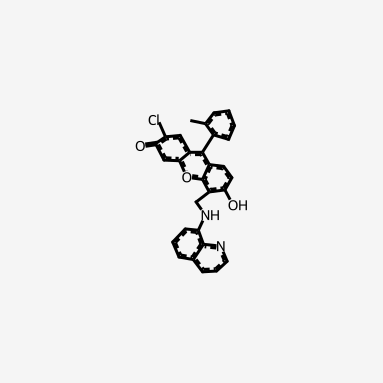 Cc1ccccc1-c1c2cc(Cl)c(=O)cc-2oc2c(CNc3cccc4cccnc34)c(O)ccc12